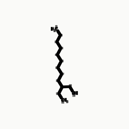 CCC[CH]CCCCCC(CC)CO